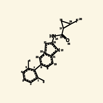 Cc1cccc(C)c1-c1ccc2nc(NC(=O)C3CC3F)cn2c1